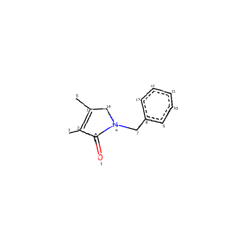 CC1=C(C)C(=O)N(Cc2ccccc2)C1